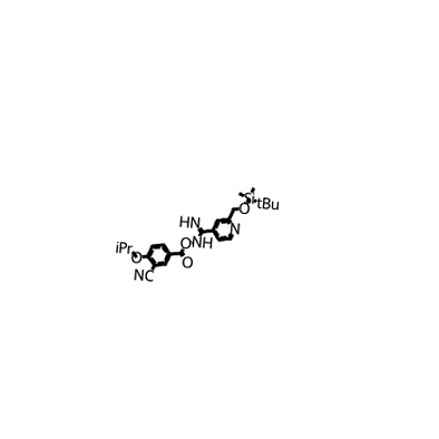 CC(C)Oc1ccc(C(=O)ONC(=N)c2ccnc(CO[Si](C)(C)C(C)(C)C)c2)cc1C#N